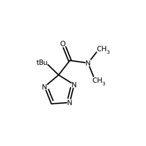 CN(C)C(=O)C1(C(C)(C)C)N=CN=N1